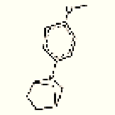 COc1ccc(P2CC3CCC2C3)cc1